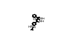 CC(C)C1=NC2CC(C3=Cc4c(C5=CCCC=C5O)c[nH]c4NC3)=CC=C2N1